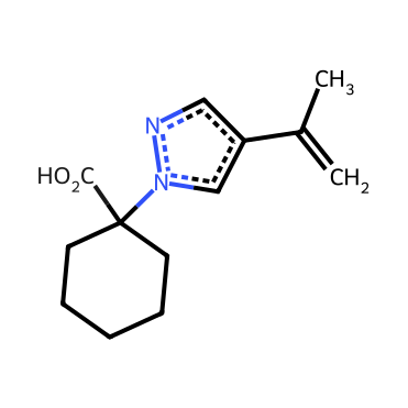 C=C(C)c1cnn(C2(C(=O)O)CCCCC2)c1